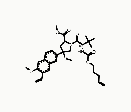 C=CCCCOC(=O)N[C@H](C(=O)N1CC(OC)(c2ccc3cc(OC)c(C=C)cc3c2)CC1C(=O)OC)C(C)(C)C